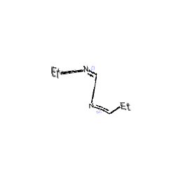 CC/C=N\C=N/CC